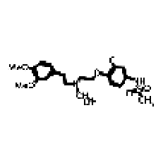 COc1ccc(CCN(C)CCOc2ccc(NS(C)(=O)=O)cc2Cl)cc1OC.Cl